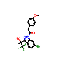 COc1ccc(CC(=O)n2nc(C(C)(O)C(F)(F)F)c3ccc(Br)cc32)cc1